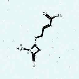 CC(=O)/C=C/CC[C@@H]1CC(=O)N1C